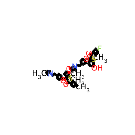 Cc1ccc(C(=O)c2sc3cc(OC4CN(CCc5ccc(Oc6c(C(=O)c7ccc(F)cc7C)sc7cc(O)ccc67)cc5)C[C@H]4C)ccc3c2Oc2ccc(CCN3CC[C@H](C)C3)cc2)c(C)c1